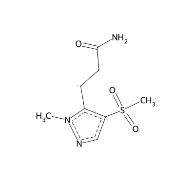 Cn1ncc(S(C)(=O)=O)c1[CH]CC(N)=O